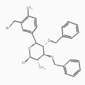 CC[C@H]1OC(c2ccc(C)c(CBr)c2)[C@H](OCc2ccccc2)[C@@H](OCc2ccccc2)[C@@H]1C